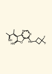 CC(=N)/C(C)=C1\C(=N)Oc2c(NC3CC(F)(F)C3)ncnc21